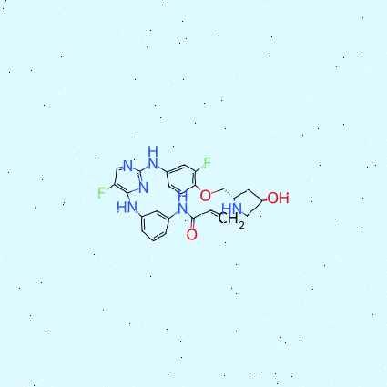 C=CC(=O)Nc1cccc(Nc2nc(Nc3ccc(OC[C@@H]4C[C@@H](O)CN4)c(F)c3)ncc2F)c1